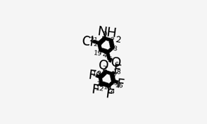 Nc1ccc(C(=O)Oc2c(F)c(F)c(F)c(F)c2F)cc1Cl